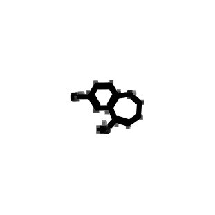 OC1=CCCSc2ccc(Cl)cc21